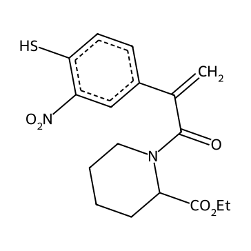 C=C(C(=O)N1CCCCC1C(=O)OCC)c1ccc(S)c([N+](=O)[O-])c1